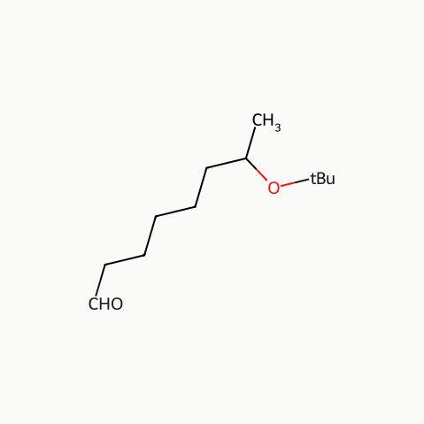 CC(CCCCCC=O)OC(C)(C)C